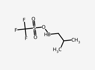 CC(C)CBOS(=O)(=O)C(F)(F)F